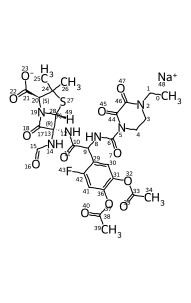 CCN1CCN(C(=O)NC(C(=O)N[C@]2(NC=O)C(=O)N3[C@@H](C(=O)[O-])C(C)(C)S[C@@H]32)c2cc(OC(C)=O)c(OC(C)=O)cc2F)C(=O)C1=O.[Na+]